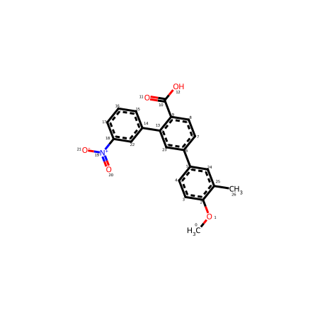 COc1ccc(-c2ccc(C(=O)O)c(-c3cccc([N+](=O)[O-])c3)c2)cc1C